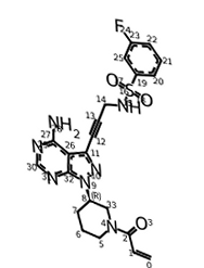 C=CC(=O)N1CCC[C@@H](n2nc(C#CCNS(=O)(=O)c3cccc(F)c3)c3c(N)ncnc32)C1